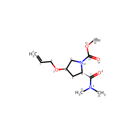 C=CCO[C@@H]1C[C@@H](C(=O)N(C)C)N(C(=O)OC(C)(C)C)C1